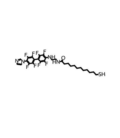 O=C(CCCCCCCCCCCS)NCCNc1c(F)c(F)c(-c2c(F)c(F)c(-n3ccnc3)c(F)c2F)c(F)c1F